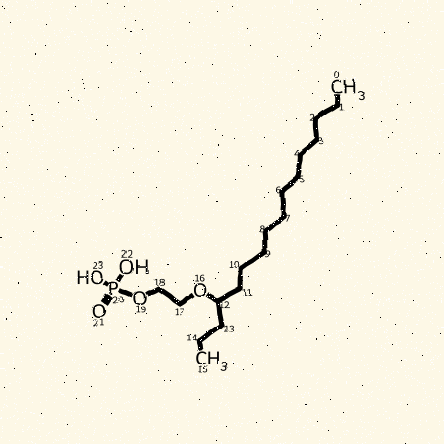 CCCCCCCCCCCCC(CCC)OCCOP(=O)(O)O